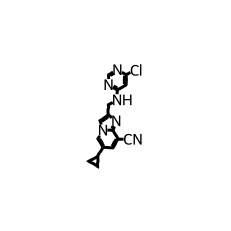 N#Cc1cc(C2CC2)cn2cc(CNc3cc(Cl)ncn3)nc12